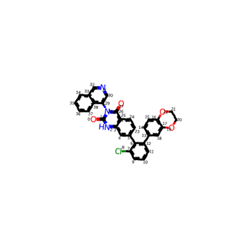 O=c1[nH]c2cc(-c3c(Cl)cccc3-c3ccc4c(c3)OCCO4)ccc2c(=O)n1-c1cncc2ccccc12